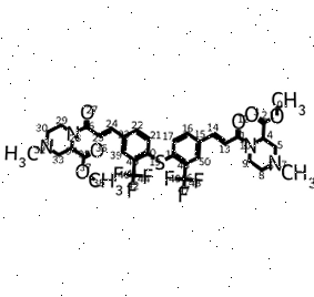 COC(=O)C1CN(C)CCN1C(=O)/C=C/c1ccc(Sc2ccc(/C=C/C(=O)N3CCN(C)CC3C(=O)OC)cc2C(F)(F)F)c(C(F)(F)F)c1